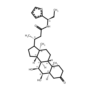 CC[C@@H](NC(=O)C[C@@H](C)C1CC[C@H]2[C@@H]3[C@H](O)[C@H](O)[C@@H]4CC(=O)CC[C@]4(C)[C@H]3CC[C@]12C)c1cccs1